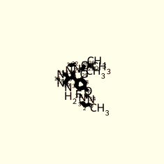 Cc1ccnc(Oc2ccc(-c3c4n(c5ncnc(N)c35)CCN4C(=O)OC(C)(C)C)cc2F)n1